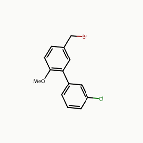 COc1ccc(CBr)cc1-c1cccc(Cl)c1